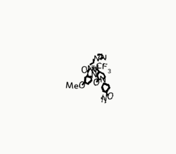 COc1ccc(-n2nc(C(F)(F)F)c3c2C(=O)N(c2ccc(C(=O)N(C)C)cc2)CC3)c(C(=O)NCCCn2ccnc2)c1